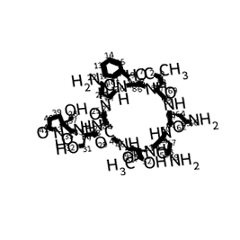 CC(C)C[C@@H]1NC(=O)[C@@H](Cc2ccccc2)NC(=O)[C@H](CCN)NC(=O)[C@@H](NC(=O)[C@@H](CO)NC(=O)[C@@]2(CO)CCC(=O)N2)CCNC(=O)[C@H]([C@@H](C)O)NC(=O)[C@H](CCN)NC(=O)[C@H](CCN)NC1=O